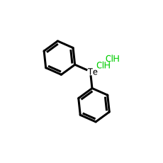 Cl.Cl.c1ccc([Te]c2ccccc2)cc1